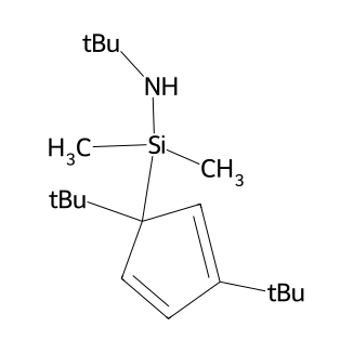 CC(C)(C)N[Si](C)(C)C1(C(C)(C)C)C=CC(C(C)(C)C)=C1